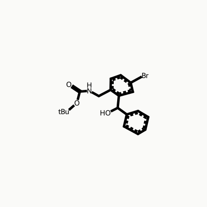 CC(C)(C)OC(=O)NCc1ccc(Br)cc1C(O)c1ccccc1